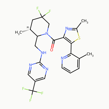 Cc1nc(C(=O)N2CC(F)(F)C[C@@H](C)C2CNc2ncc(C(F)(F)F)cn2)c(-c2ncccc2C)s1